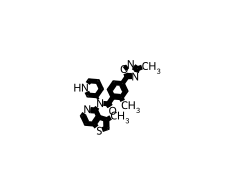 Cc1noc(-c2ccc(C(=O)N(c3nccc4scc(C)c34)[C@@H]3CCCNC3)c(C)c2)n1